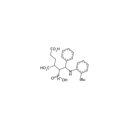 CC(C)(C)c1ccccc1NC(c1ccccc1)C(C(CCC(=O)O)C(=O)O)[PH](=O)O